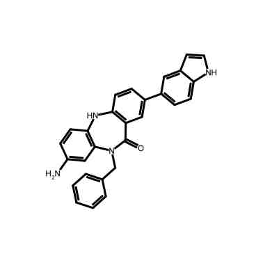 Nc1ccc2c(c1)N(Cc1ccccc1)C(=O)c1cc(-c3ccc4[nH]ccc4c3)ccc1N2